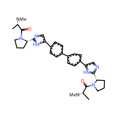 CN[C@@H](C)C(=O)N1CCC[C@H]1c1ncc(-c2ccc(-c3ccc(-c4cnc([C@@H]5CCCN5C(=O)[C@H](C)NC)[nH]4)cc3)cc2)[nH]1